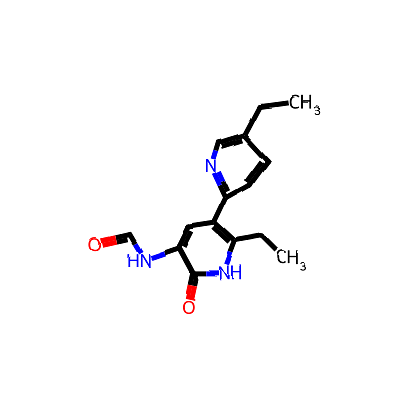 CCc1ccc(-c2cc(NC=O)c(=O)[nH]c2CC)nc1